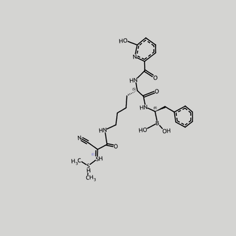 C[SH](C)/[SH]=C(\C#N)C(=O)NCCCC[C@H](NC(=O)c1cccc(O)n1)C(=O)N[C@@H](Cc1ccccc1)B(O)O